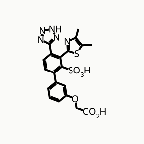 Cc1nc(-c2c(-c3nn[nH]n3)ccc(-c3cccc(OCC(=O)O)c3)c2S(=O)(=O)O)sc1C